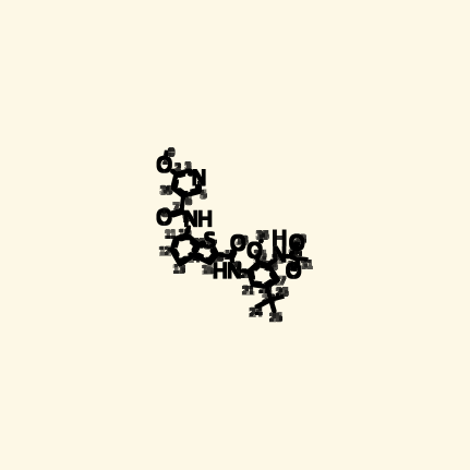 COc1cncc(C(=O)Nc2cccc3cc(C(=O)Nc4cc(C(C)(C)C)cc(NS(C)(=O)=O)c4OC)sc23)c1